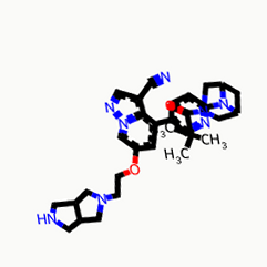 CC(C)(C)C(=O)N1CC2CC(C1)N2c1ccc(-c2cc(OCCN3CC4CNCC4C3)cn3ncc(C#N)c23)cn1